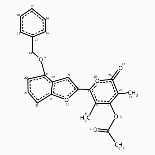 CC(=O)Oc1c(C)c(-c2cc3c(OCc4ccccc4)cccc3o2)oc(=O)c1C